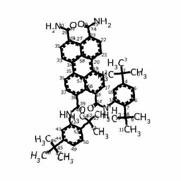 CC(C)(C)c1ccc(C(C)(C)C)c(NC(=O)c2ccc3c4ccc(C(N)=O)c5c(C(N)=O)ccc(c6ccc(C(=O)Nc7cc(C(C)(C)C)ccc7C(C)(C)C)c2c36)c54)c1